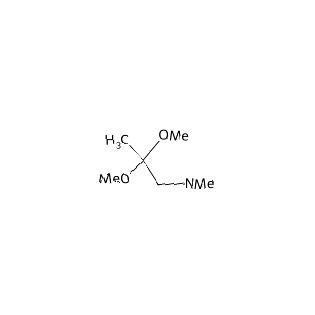 CNCC(C)(OC)OC